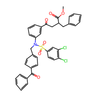 COC(=O)C(CC(=O)c1cccc(N(Cc2ccc(C(=O)c3ccccc3)cc2)S(=O)(=O)c2ccc(Cl)c(Cl)c2)c1)Cc1ccccc1